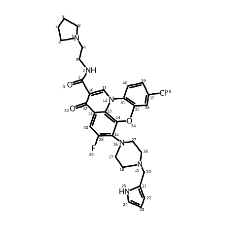 O=C(NCCN1CCCC1)c1cn2c3c(c(N4CCN(Cc5ccc[nH]5)CC4)c(F)cc3c1=O)Oc1cc(Cl)ccc1-2